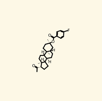 CC(=O)[C@H]1CC[C@H]2[C@@H]3CC[C@H]4C[C@](C)(OC(=O)c5ccc(F)cc5)CC[C@]4(C)[C@H]3CC[C@]12C